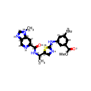 COC(=O)c1cc(Nc2ncc(C(C)NC(=O)c3cc4c(cn3)ncn4C)s2)cc(C(C)(C)C)c1